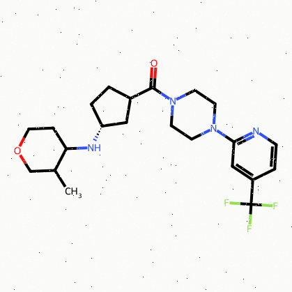 CC1COCCC1N[C@@H]1CCC(C(=O)N2CCN(c3cc(C(F)(F)F)ccn3)CC2)C1